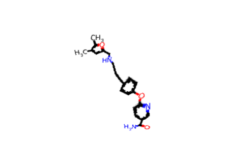 Cc1cc(CNCCc2ccc(Oc3ccc(C(N)=O)cn3)cc2)oc1C